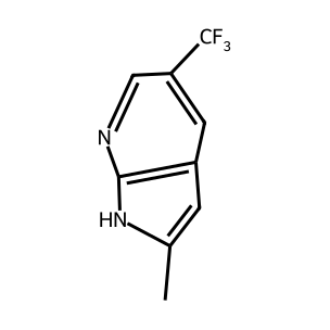 Cc1cc2cc(C(F)(F)F)cnc2[nH]1